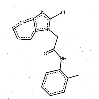 Cc1ccccc1NC(=O)Cn1c(Cl)nc2ccccc21